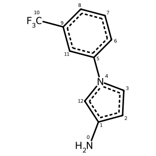 Nc1ccn(-c2cccc(C(F)(F)F)c2)c1